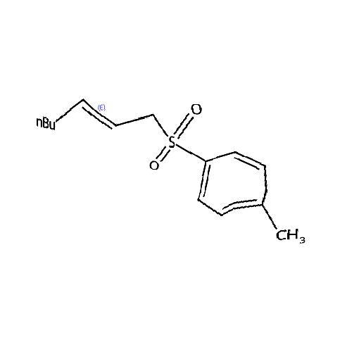 CCCC/C=C/CS(=O)(=O)c1ccc(C)cc1